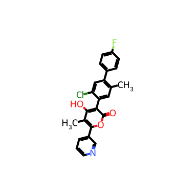 Cc1cc(-c2c(O)c(C)c(-c3cccnc3)oc2=O)c(Cl)cc1-c1ccc(F)cc1